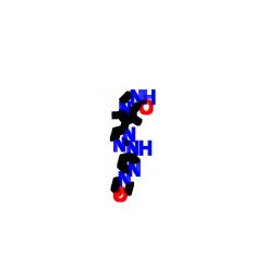 Cc1c(-c2ccnc(Nc3ccc(N4CCOCC4)nc3)n2)c(C)n2c1C(=O)NCC2